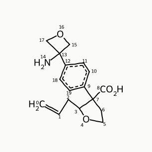 C=CCC1OCCC1(C(=O)O)c1ccc(C2(N)COC2)cc1